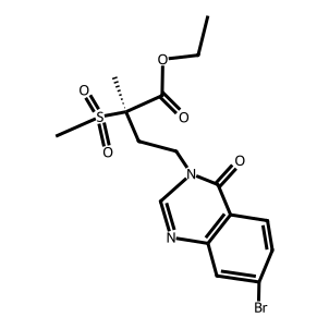 CCOC(=O)[C@@](C)(CCn1cnc2cc(Br)ccc2c1=O)S(C)(=O)=O